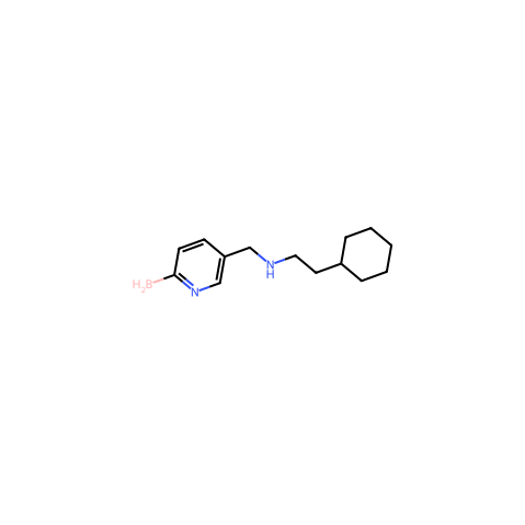 Bc1ccc(CNCCC2CCCCC2)cn1